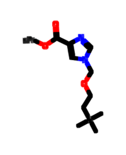 CCCOC(=O)c1cn(COCC[Si](C)(C)C)cn1